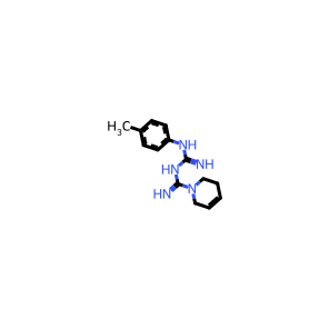 Cc1ccc(NC(=N)NC(=N)N2CC=CCC2)cc1